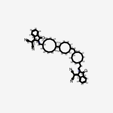 N#CC(C#N)=C1/C(=C/CC2CCCCC(CC3CCCCC(C4CCCCCC(/C=C5\C(=O)c6ccccc6C5=C(C#N)C#N)CCCCC4)CCCC3)CCCC2)C(=O)c2ccccc21